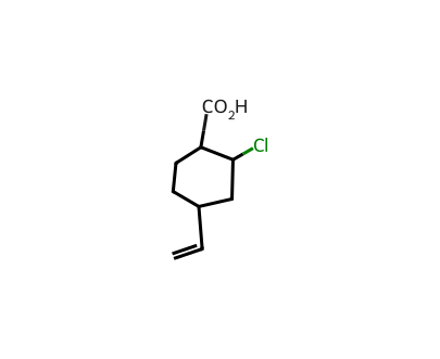 C=CC1CCC(C(=O)O)C(Cl)C1